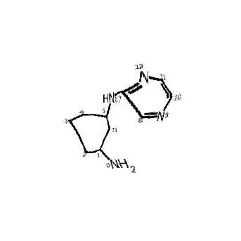 NC1CCCC(Nc2cnccn2)C1